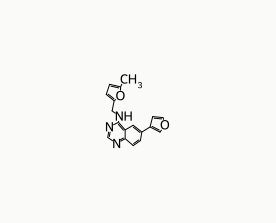 Cc1ccc(CNc2ncnc3ccc(-c4ccoc4)cc23)o1